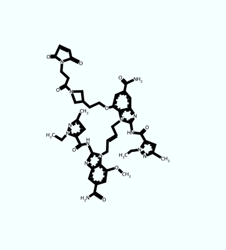 CCn1nc(C)cc1C(=O)Nc1nc2cc(C(N)=O)cc(OC)c2n1C/C=C/Cn1c(NC(=O)c2cc(C)nn2CC)nc2cc(C(N)=O)cc(OCCC3CN(C(=O)CCN4C(=O)C=CC4=O)C3)c21